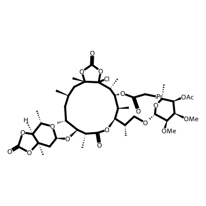 CO[C@H]1[C@@H](OC)[C@H](OC[C@H](C)[C@H]2OC(=O)[C@H](C)[C@@H](O[C@H]3C[C@@]4(C)OC(=O)O[C@H]4[C@H](C)O3)[C@H](C)C[C@@H](C)C[C@]3(C)OC(=O)OC3(Cl)[C@H](C)[C@H](OC(=O)CC(C)C)[C@H]2C)O[C@H](C)[C@H]1OC(C)=O